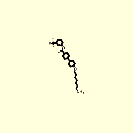 CCCCCCCCOc1ccc(-c2ccc(C(=O)Oc3cccc(C(F)(F)F)c3)cc2)cc1